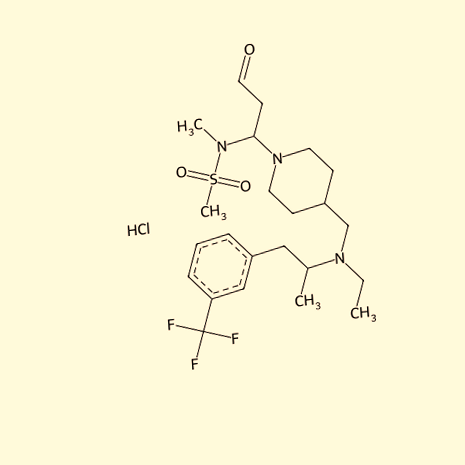 CCN(CC1CCN(C(CC=O)N(C)S(C)(=O)=O)CC1)C(C)Cc1cccc(C(F)(F)F)c1.Cl